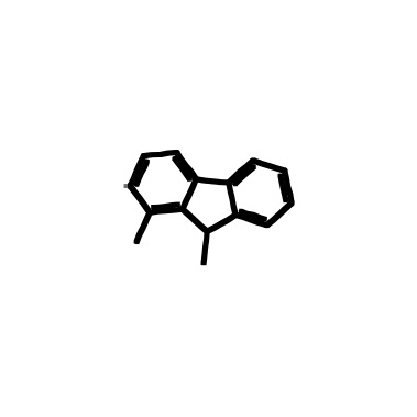 Cc1[c]ccc2c1C(C)c1ccccc1-2